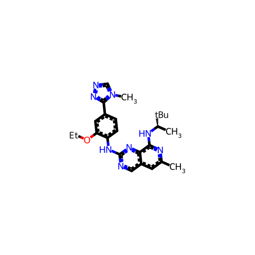 CCOc1cc(-c2nncn2C)ccc1Nc1ncc2cc(C)nc(N[C@H](C)C(C)(C)C)c2n1